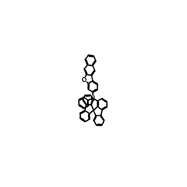 c1ccc(N(c2ccc3c(c2)oc2cc4ccccc4cc23)c2cccc3c2C2(c4ccccc4-c4ccccc42)c2ccccc2-3)cc1